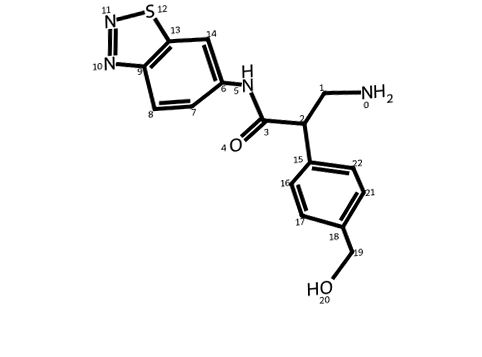 NCC(C(=O)Nc1ccc2nnsc2c1)c1ccc(CO)cc1